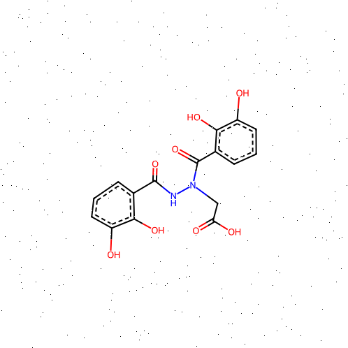 O=C(O)CN(NC(=O)c1cccc(O)c1O)C(=O)c1cccc(O)c1O